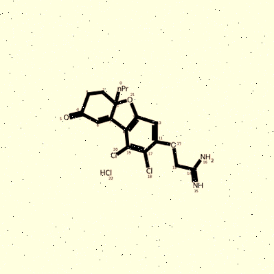 CCCC12CCC(=O)C=C1c1c(cc(OCC(=N)N)c(Cl)c1Cl)O2.Cl